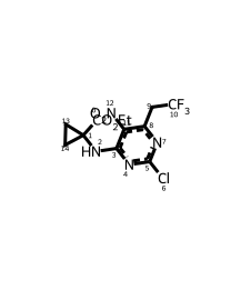 CCOC(=O)C1(Nc2nc(Cl)nc(CC(F)(F)F)c2[N+](=O)[O-])CC1